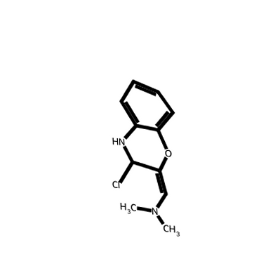 CN(C)C=C1Oc2ccccc2NC1Cl